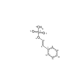 CS(=O)(=O)OC=Cc1ccccc1